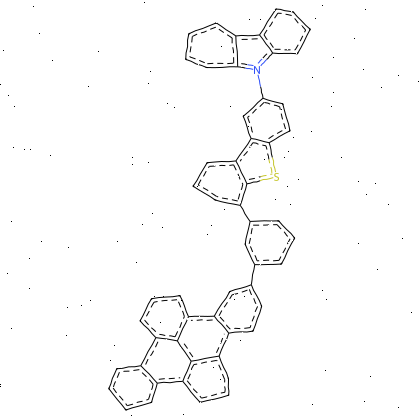 c1cc(-c2ccc3c(c2)c2cccc4c5ccccc5c5cccc3c5c42)cc(-c2cccc3c2sc2ccc(-n4c5ccccc5c5ccccc54)cc23)c1